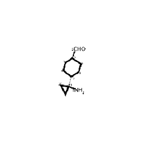 NC1([C@H]2CC[C@H](C=O)CC2)CC1